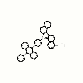 CCCc1cccc2c1ccc1c3c4ccccc4ccc3n(-c3ccc(-c4c5ccccc5c(-c5ccccc5)c5ccccc45)cc3)c21